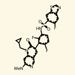 CNc1cc2c(cn1)cc(-c1c(F)ccc(NS(=O)(=O)c3cc4scnc4cc3F)c1F)c(=O)n2CC1CC1